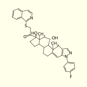 CC12Cc3cnn(-c4ccc(F)cc4)c3C=C1CCC1C2[C@@H](O)CC2(C)C1CC[C@]2(O)C(=O)CSc1nccc2ccccc12